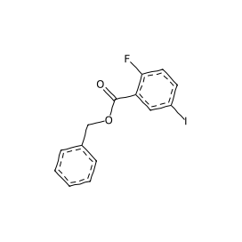 O=C(OCc1ccccc1)c1cc(I)ccc1F